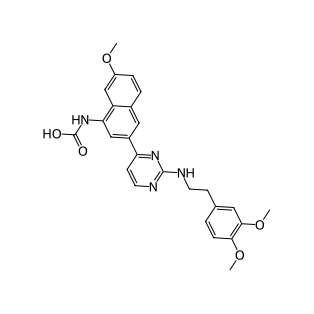 COc1ccc2cc(-c3ccnc(NCCc4ccc(OC)c(OC)c4)n3)cc(NC(=O)O)c2c1